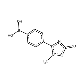 Cn1oc(=O)nc1-c1ccc(B(O)O)cc1